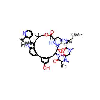 CCn1c(-c2cccnc2[C@H](C)OC)c2c3cc(ccc31)-c1cc(O)cc(c1)C[C@H](NC(=O)C(C(C)C)N(C)C(=O)CN(C)C(=O)[C@@H]1N[C@H]1COC)C(=O)N1CCC[C@H](N1)C(=O)OCC(C)(C)C2